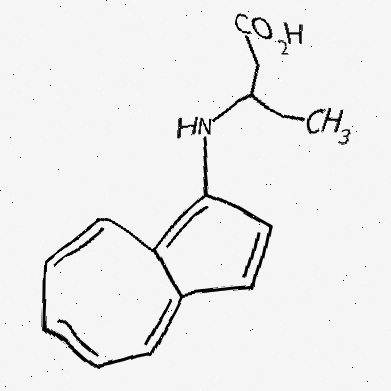 CC(Nc1ccc2cccccc1-2)C(=O)O